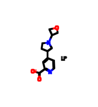 O=C([O-])c1cc(C2CCN(C3COC3)C2)ccn1.[Li+]